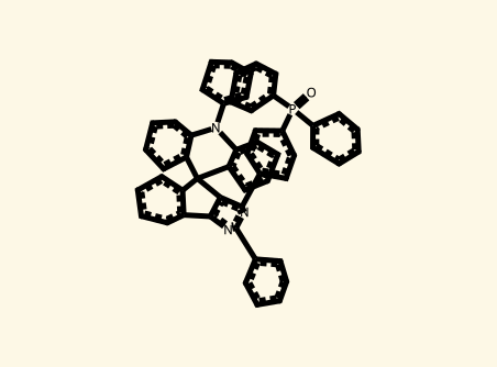 O=P(c1ccccc1)(c1ccccc1)c1ccc(-c2nc(-c3ccccc3)nc3c2C2(c4ccccc4-3)c3ccccc3N(c3ccccc3)c3ccccc32)cc1